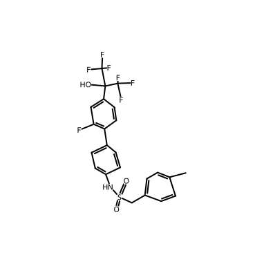 Cc1ccc(CS(=O)(=O)Nc2ccc(-c3ccc(C(O)(C(F)(F)F)C(F)(F)F)cc3F)cc2)cc1